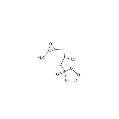 CCOP(=O)(OCC)OC(CC)CC1OC1C